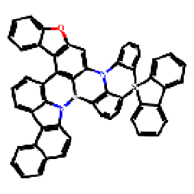 c1ccc2c(c1)-c1ccccc1[Si]21c2ccccc2N2c3cc4oc5ccccc5c4c4c3B(c3cccc1c32)n1c2ccc3ccccc3c2c2cccc-4c21